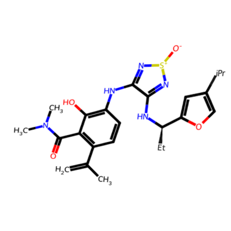 C=C(C)c1ccc(Nc2n[s+]([O-])nc2N[C@H](CC)c2cc(C(C)C)co2)c(O)c1C(=O)N(C)C